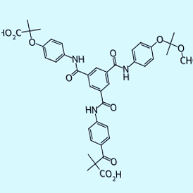 CC(C)(OC=O)Oc1ccc(NC(=O)c2cc(C(=O)Nc3ccc(OC(C)(C)C(=O)O)cc3)cc(C(=O)Nc3ccc(C(=O)C(C)(C)C(=O)O)cc3)c2)cc1